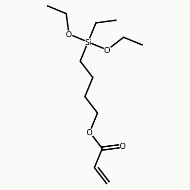 C=CC(=O)OCCCC[Si](CC)(OCC)OCC